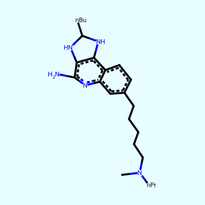 CCCCC1Nc2c(N)nc3cc(CCCCCN(C)CCC)ccc3c2N1